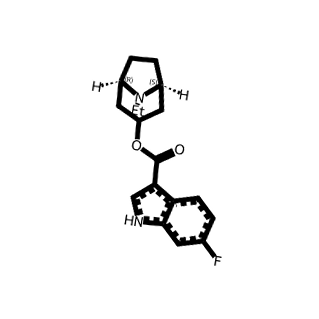 CCN1[C@@H]2CC[C@H]1CC(OC(=O)c1c[nH]c3cc(F)ccc13)C2